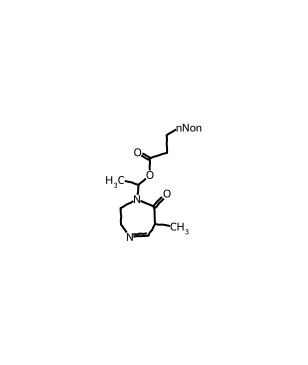 CCCCCCCCCCCC(=O)OC(C)N1CCN=CC(C)C1=O